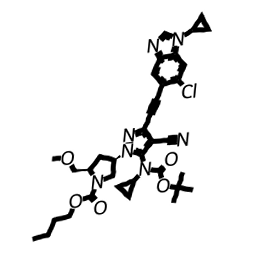 CCCCOC(=O)N1C[C@@H](n2nc(C#Cc3cc4ncn(C5CC5)c4cc3Cl)c(C#N)c2N(C(=O)OC(C)(C)C)C2CC2)C[C@@H]1COC